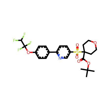 CC(C)(C)OC(=O)C1(S(=O)(=O)c2ccc(-c3ccc(OC(F)(F)C(F)F)cc3)nc2)CCOCC1